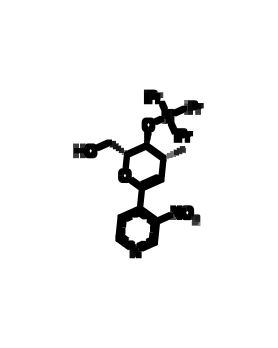 CC(C)[Si](O[C@H]1[C@H](C)C=C(c2ccncc2[N+](=O)[O-])O[C@@H]1CO)(C(C)C)C(C)C